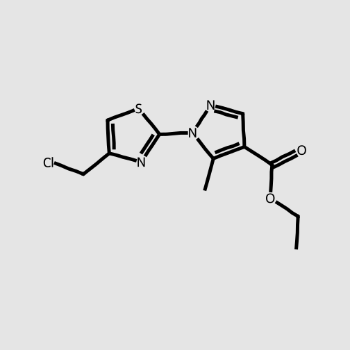 CCOC(=O)c1cnn(-c2nc(CCl)cs2)c1C